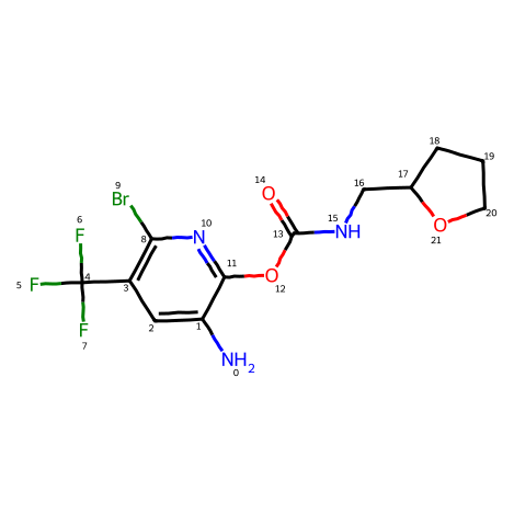 Nc1cc(C(F)(F)F)c(Br)nc1OC(=O)NCC1CCCO1